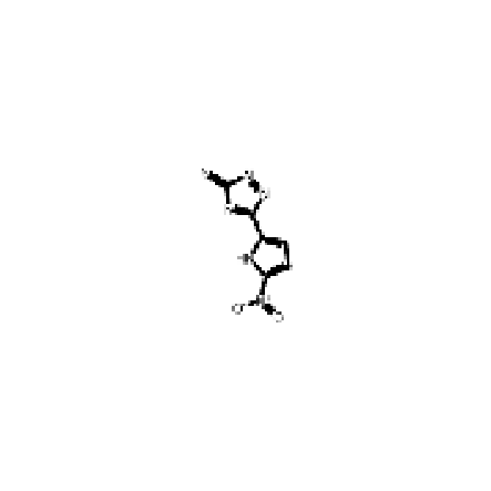 O=[N+]([O-])c1ccc(C2=NC(=S)N=N2)[nH]1